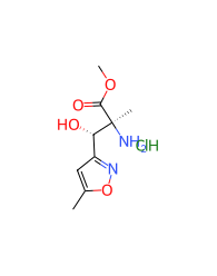 COC(=O)[C@@](C)(N)[C@@H](O)c1cc(C)on1.Cl